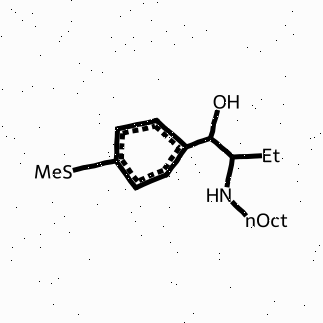 CCCCCCCCNC(CC)C(O)c1ccc(SC)cc1